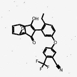 CCc1ccc(Oc2ccc(C(F)(F)F)c(C#N)c2)cc1C1=C(O)c2c(c3ccc2o3)C1=O